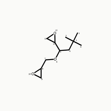 CC(C)(C)CC(OCC1CO1)C1CO1